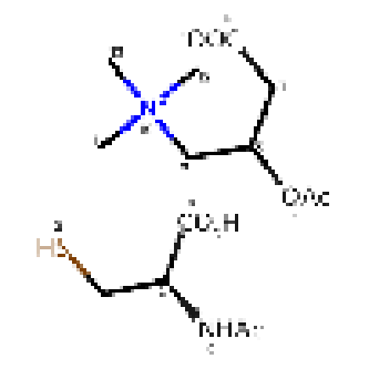 CC(=O)N[C@@H](CS)C(=O)O.CC(=O)OC(CC(=O)[O-])C[N+](C)(C)C